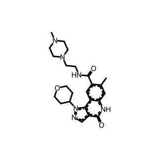 Cc1cc2[nH]c(=O)c3cnn(C4CCOCC4)c3c2cc1C(=O)NCCN1CCN(C)CC1